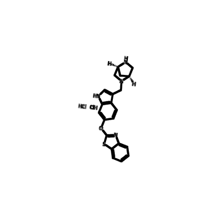 Cl.Cl.c1ccc2sc(Oc3ccc4c(CN5C[C@@H]6C[C@H]5CN6)c[nH]c4c3)nc2c1